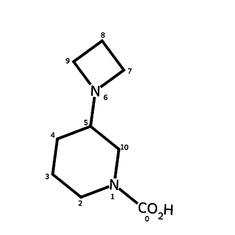 O=C(O)N1CCCC(N2CCC2)C1